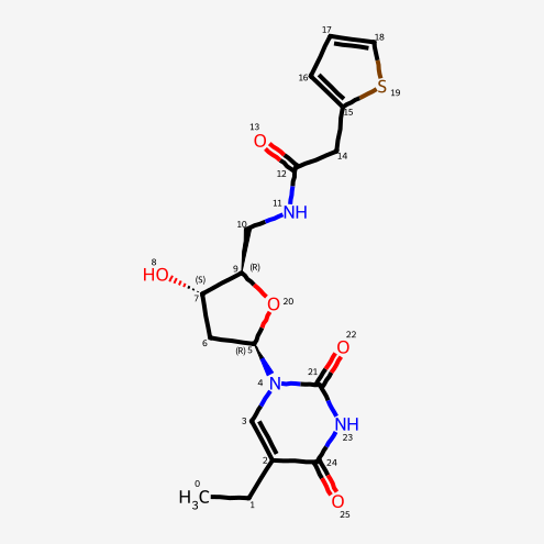 CCc1cn([C@H]2C[C@H](O)[C@@H](CNC(=O)Cc3cccs3)O2)c(=O)[nH]c1=O